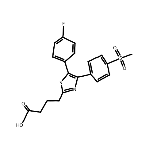 CS(=O)(=O)c1ccc(-c2nc(CCCC(=O)O)sc2-c2ccc(F)cc2)cc1